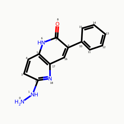 NNc1ccc2[nH]c(=O)c(-c3ccccc3)cc2n1